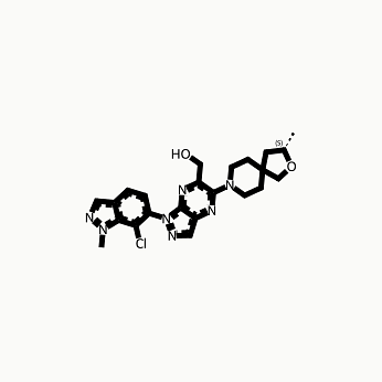 C[C@H]1CC2(CCN(c3nc4cnn(-c5ccc6cnn(C)c6c5Cl)c4nc3CO)CC2)CO1